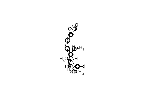 COc1cc(N2CCC(CN3CCN(c4ccc(-n5ccc(=O)[nH]c5=O)cc4)CC3)CC2)c(-c2cnn(C)c2)cc1Nc1ncc(Cl)c(Nc2ccc(C3CC3)cc2P(C)(C)=O)n1